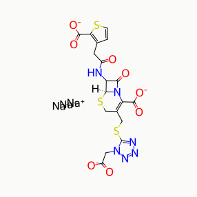 O=C([O-])Cn1nnnc1SCC1=C(C(=O)[O-])N2C(=O)C(NC(=O)Cc3ccsc3C(=O)[O-])[C@@H]2SC1.[Na+].[Na+].[Na+]